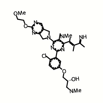 CNC[C@@H](O)COc1ccc(Cl)c(-c2nc(/C(NC)=C(\C)C(C)=N)c(C)c(N3Cc4cnc(OCCOC)nc4C3)n2)c1